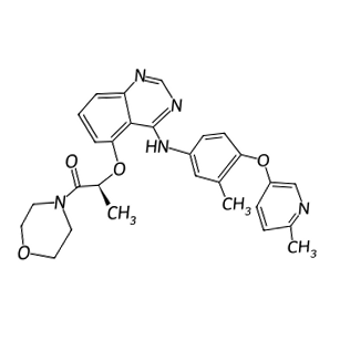 Cc1ccc(Oc2ccc(Nc3ncnc4cccc(O[C@@H](C)C(=O)N5CCOCC5)c34)cc2C)cn1